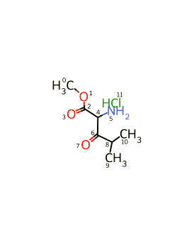 COC(=O)C(N)C(=O)C(C)C.Cl